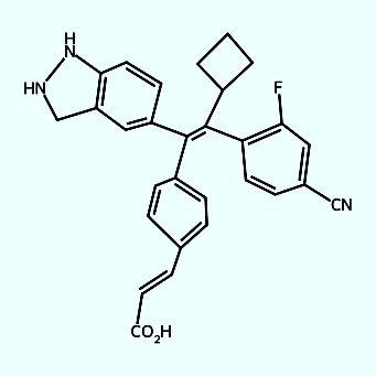 N#Cc1ccc(/C(=C(\c2ccc(/C=C/C(=O)O)cc2)c2ccc3c(c2)CNN3)C2CCC2)c(F)c1